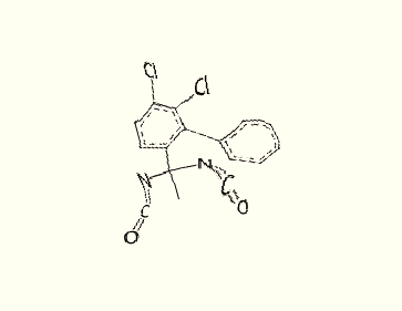 CC(N=C=O)(N=C=O)c1ccc(Cl)c(Cl)c1-c1ccccc1